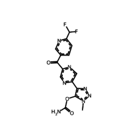 Cn1nnc(-c2cnc(C(=O)c3ccc(C(F)F)nc3)cn2)c1OC(N)=O